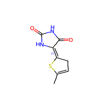 CC1=CC/C(=C2/NC(=O)NC2=O)S1